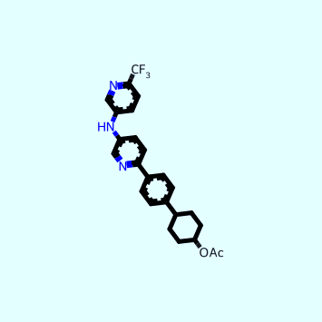 CC(=O)OC1CCC(c2ccc(-c3ccc(Nc4ccc(C(F)(F)F)nc4)cn3)cc2)CC1